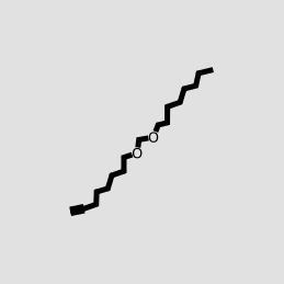 C#CCCCCCCOCOCCCCCCCC